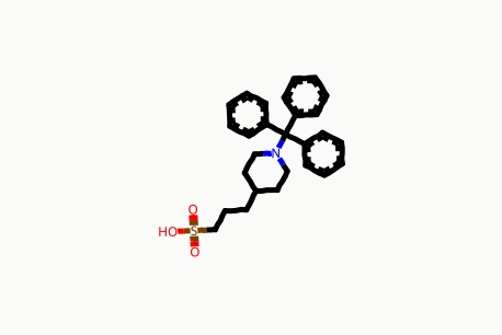 O=S(=O)(O)CCCC1CCN(C(c2ccccc2)(c2ccccc2)c2ccccc2)CC1